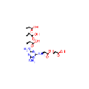 C=CC(=O)O.C=CC(=O)O.C=CC(=O)O.C=CC(=O)O.C=CC(=O)O.Nc1nc(N)nc(N)n1